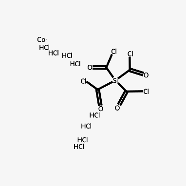 Cl.Cl.Cl.Cl.Cl.Cl.Cl.Cl.O=C(Cl)[Si](C(=O)Cl)(C(=O)Cl)C(=O)Cl.[Co]